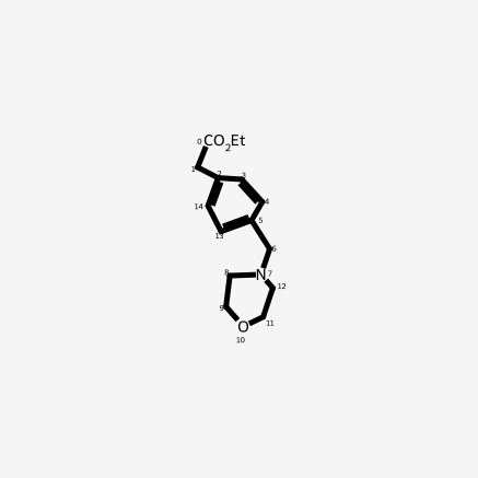 CCOC(=O)Cc1ccc(CN2CCOCC2)cc1